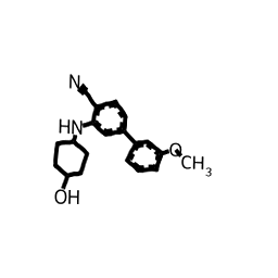 COc1cccc(-c2ccc(C#N)c(NC3CCC(O)CC3)c2)c1